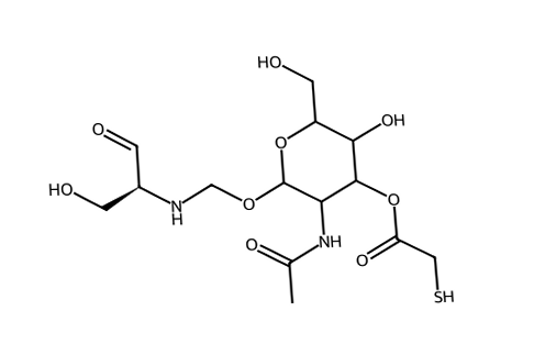 CC(=O)NC1C(OCN[C@H](C=O)CO)OC(CO)C(O)C1OC(=O)CS